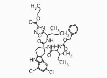 CCCOC(=O)c1noc(C(NC(=O)[C@]2(NC(=O)C(NC(=O)OCc3ccccc3)C(C)CC)CCc3[nH]c4c(Cl)cc(Cl)cc4c3C2)[C@@H](C)CC)n1